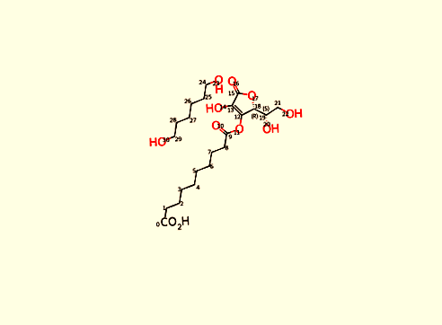 O=C(O)CCCCCCCCC(=O)OC1=C(O)C(=O)O[C@@H]1[C@@H](O)CO.OCCCCCCO